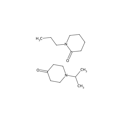 CC(C)N1CCC(=O)CC1.CCCN1CCCCC1=O